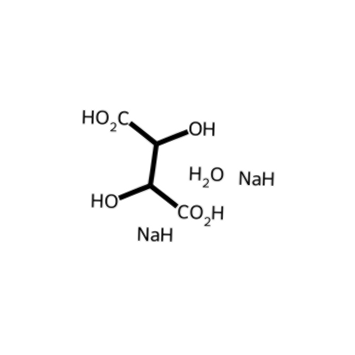 O.O=C(O)C(O)C(O)C(=O)O.[NaH].[NaH]